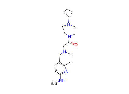 CCC(C)Nc1ccc2c(n1)CCN(CC(=O)N1CCN(C3CCC3)CC1)C2